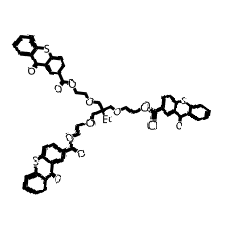 CCC(COCCOC(=O)c1ccc2sc3ccccc3c(=O)c2c1)(COCCOC(=O)c1ccc2sc3ccccc3c(=O)c2c1)COCCOC(=O)c1ccc2sc3ccccc3c(=O)c2c1